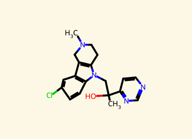 CN1CCc2c(c3cc(Cl)ccc3n2CC(C)(O)c2ccncn2)C1